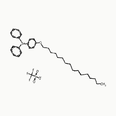 CCCCCCCCCCCCCCCCOc1ccc([S+](c2ccccc2)c2ccccc2)cc1.O=S(=O)([O-])C(F)(F)F